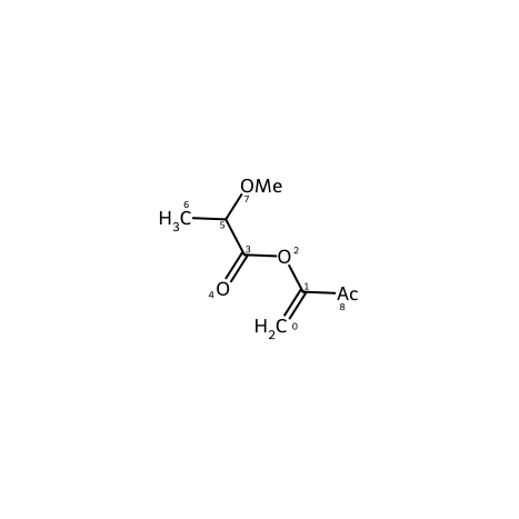 C=C(OC(=O)C(C)OC)C(C)=O